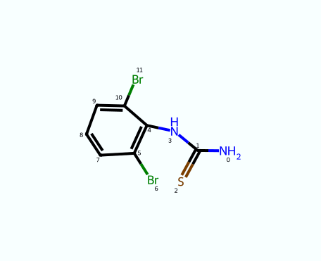 NC(=S)Nc1c(Br)cccc1Br